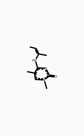 C/C=C(/C)Nc1nc(=O)n(C)cc1C